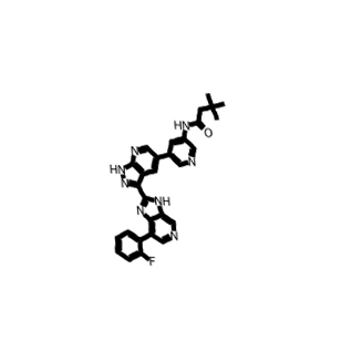 CC(C)(C)CC(=O)Nc1cncc(-c2cnc3[nH]nc(-c4nc5c(-c6ccccc6F)cncc5[nH]4)c3c2)c1